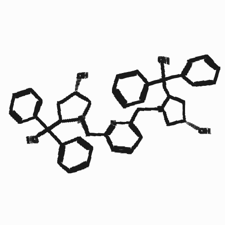 O[C@H]1CC(C(O)(c2ccccc2)c2ccccc2)N(Cc2cccc(CN3C[C@@H](O)CC3C(O)(c3ccccc3)c3ccccc3)n2)C1